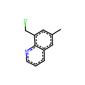 Cc1cc(CCl)c2ncccc2c1